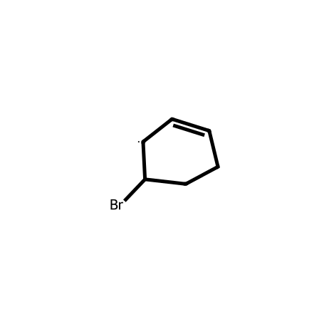 BrC1[CH]C=CCC1